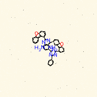 Nc1nc(-c2cccc3oc4ccccc4c23)nc(-c2ccc3oc4cccc(-c5nc(-c6ccccc6)nc(-c6ccccc6)n5)c4c3c2)c1N